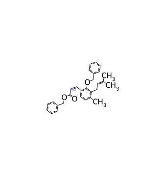 CC(C)=CCc1c(C)ccc(/C=C\C(=O)OCc2ccccc2)c1OCc1ccccc1